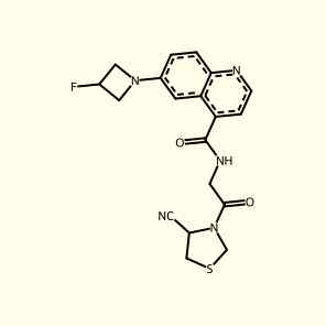 N#CC1CSCN1C(=O)CNC(=O)c1ccnc2ccc(N3CC(F)C3)cc12